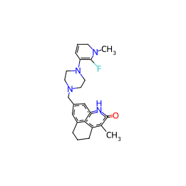 Cc1c2c3c(cc(CN4CCN(C5=C(F)N(C)CC=C5)CC4)cc3[nH]c1=O)CCC2